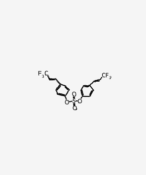 O=S(=O)(Oc1ccc(/C=C/C(F)(F)F)cc1)Oc1ccc(/C=C/C(F)(F)F)cc1